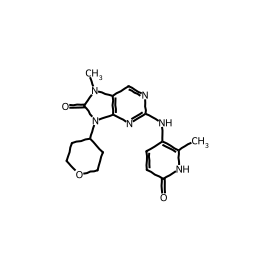 Cc1[nH]c(=O)ccc1Nc1ncc2c(n1)n(C1CCOCC1)c(=O)n2C